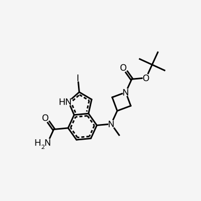 CN(c1ccc(C(N)=O)c2[nH]c(I)cc12)C1CN(C(=O)OC(C)(C)C)C1